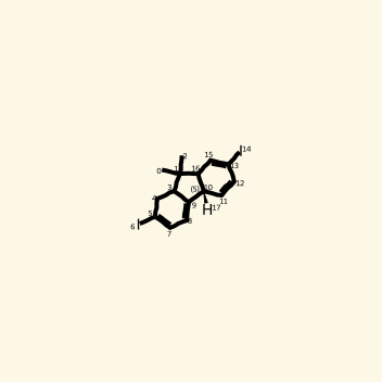 CC1(C)C2CC(I)=CC=C2[C@H]2C=CC(I)=CC21